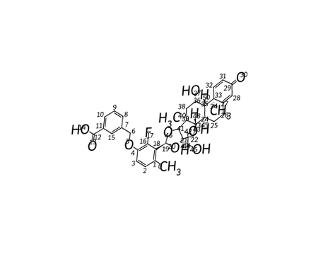 Cc1ccc(OCc2cccc(C(=O)O)c2)c(F)c1[C@@H]1O[C@@H]2C[C@H]3[C@@H]4CCC5=CC(=O)C=C[C@]5(C)[C@H]4[C@@H](O)C[C@]3(C)[C@]2(C(=O)CO)O1